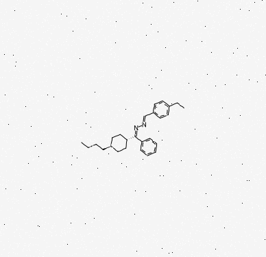 CCCC[C@H]1CC[C@H](C(=NN=Cc2ccc(CC)cc2)c2ccccc2)CC1